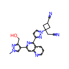 Cn1cc(-c2cc3ncccc3c(-c3ccn(C4(CC#N)CC(C#N)C4)n3)n2)c(CO)n1